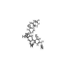 CN1CCN2c3ccc(-c4n[nH]c5cc(C#N)c(-c6c(F)cc(CC#N)cc6F)cc45)cc3OCC2C1